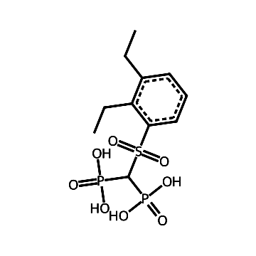 CCc1cccc(S(=O)(=O)C(P(=O)(O)O)P(=O)(O)O)c1CC